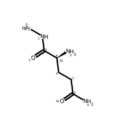 CCCNC(=O)[C@@H](N)CCC(N)=O